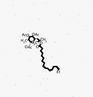 CC/C=C\C/C=C\C/C=C\CCCCCCCC(=O)OC(C)(C)C[C@@H]1O[C@H](COC(C)=O)[C@H](C)[C@H](OC(C)=O)[C@H]1OC(C)=O